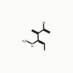 C=C(CC)C(=C)/C(=C/C)PN